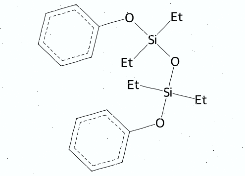 CC[Si](CC)(Oc1ccccc1)O[Si](CC)(CC)Oc1ccccc1